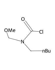 CCCCCN(COC)C(=O)Cl